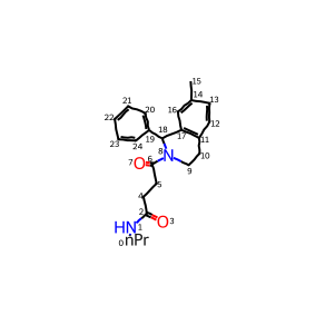 CCCNC(=O)CCC(=O)N1CCc2ccc(C)cc2C1c1ccccc1